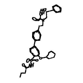 CCCC(=O)NS(=O)(=O)c1ccc(-c2ccc(CCN(C[C@H](O)c3ccccc3)C(=O)O)cc2)cc1OC1CCCCC1